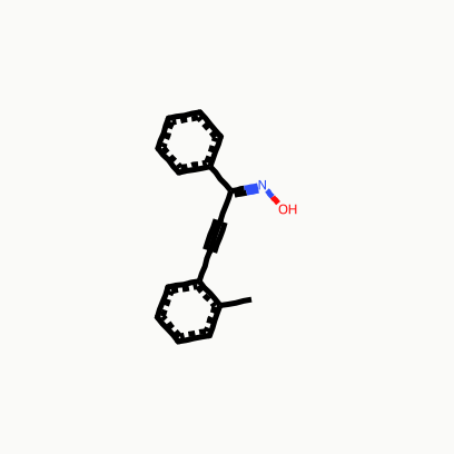 Cc1ccccc1C#CC(=NO)c1ccccc1